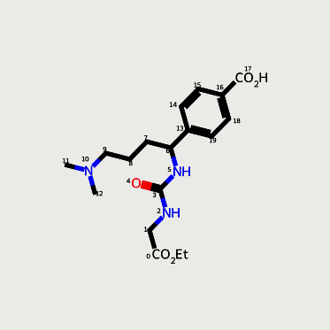 CCOC(=O)CNC(=O)NC(CCCN(C)C)c1ccc(C(=O)O)cc1